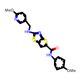 COc1ccc(NC(=O)c2cc3sc(NCc4ccc(OC)nc4)nc3s2)cc1